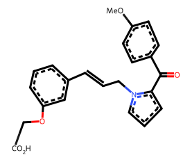 COc1ccc(C(=O)c2cccn2C/C=C/c2cccc(OCC(=O)O)c2)cc1